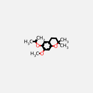 C=C(C)Oc1cc2c(cc1OC)OC(C)(C)CC2